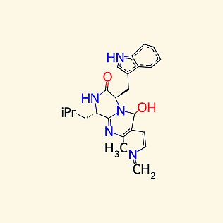 C=N/C=C\C1=C(C)N=C2[C@H](CC(C)C)NC(=O)[C@@H](Cc3c[nH]c4ccccc34)N2C1O